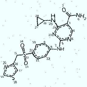 NC(=O)c1cnc(Nc2ccc(S(=O)(=O)Cc3cscn3)cc2)nc1NC1CC1